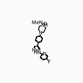 CN[SH]1(=O)CCN(c2ccc(/C(C=N)=C/Nc3ccc(F)cn3)cc2)CC1